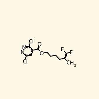 CC(CCCCOC(=O)c1cc(Cl)nnc1Cl)=C(F)F